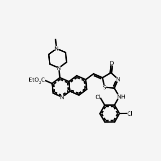 CCOC(=O)c1cnc2ccc(/C=C3\SC(Nc4c(Cl)cccc4Cl)=NC3=O)cc2c1N1CCN(C)CC1